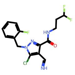 N=Cc1c(C(=O)NCCC(F)F)nn(Cc2ccccc2F)c1Cl